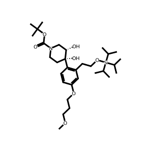 COCCCOc1ccc([C@@]2(O)CCN(C(=O)OC(C)(C)C)C[C@@H]2O)c(CCO[Si](C(C)C)(C(C)C)C(C)C)c1